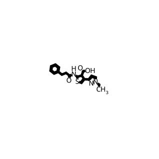 CCn1ccc(C2=CSC(NC(=O)CCc3ccccc3)C2C(=O)O)n1